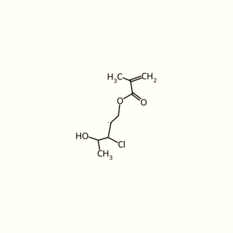 C=C(C)C(=O)OC[CH]C(Cl)C(C)O